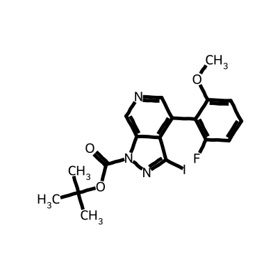 COc1cccc(F)c1-c1cncc2c1c(I)nn2C(=O)OC(C)(C)C